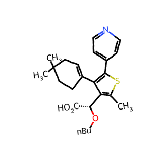 CCCCO[C@H](C(=O)O)c1c(C)sc(-c2ccncc2)c1C1=CCC(C)(C)CC1